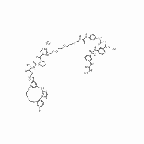 CCCNC(=O)Nc1cccc(S(=O)(=O)Nc2cccc([C@@H](CC(=O)[O-])NC(=O)Nc3ccc(NC(=O)NCCOCCOCCOCCC(=O)N[C@@H](CC(=O)[O-])C(=O)N4CCC[C@H]4C(=O)N[C@H](C(=O)N=[S@](C)(=O)Cc4cc5cc(c4)OCCCCOc4cc(F)ccc4-c4nc(ncc4F)N5)C(C)C)cc3)c2)c1.[Na+].[Na+]